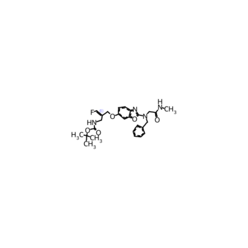 CNC(=O)CN(Cc1ccccc1)c1nc2ccc(OC/C(=C/F)CNC(=O)OC(C)(C)C)cc2o1